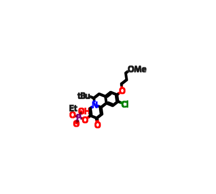 CCOP(=O)(O)Oc1cn2c(cc1=O)-c1cc(Cl)c(OCCCOC)cc1CC2C(C)(C)C